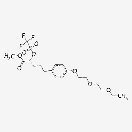 CCOCCOCCOc1ccc(CCC[C@@H](OS(=O)(=O)C(F)(F)F)C(=O)OC)cc1